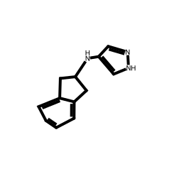 c1ccc2c(c1)CC(Nc1cn[nH]c1)C2